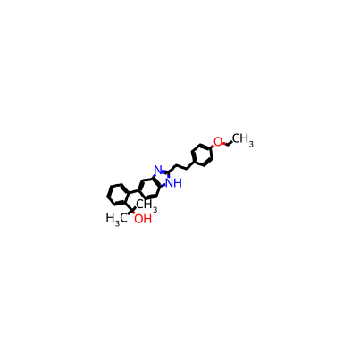 CCOc1ccc(CCc2nc3cc(-c4ccccc4C(C)(C)O)ccc3[nH]2)cc1